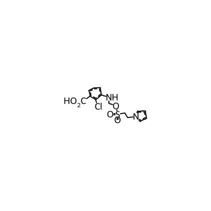 O=C(O)c1cccc(NCOS(=O)(=O)CCn2cccc2)c1Cl